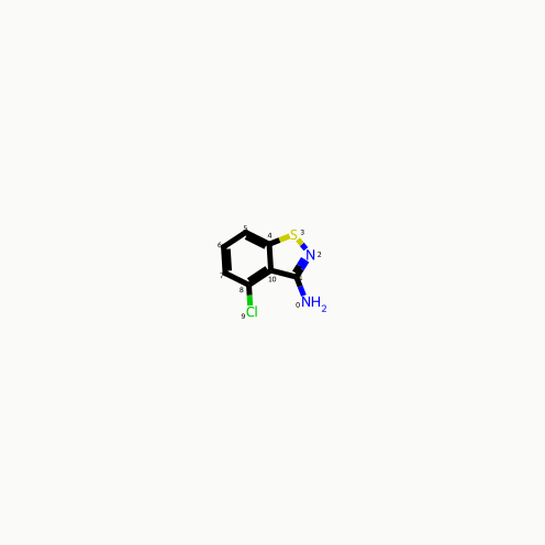 Nc1nsc2cccc(Cl)c12